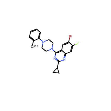 COc1ccccc1N1CCN(c2nc(C3CC3)nc3cc(F)c(Br)cc23)CC1